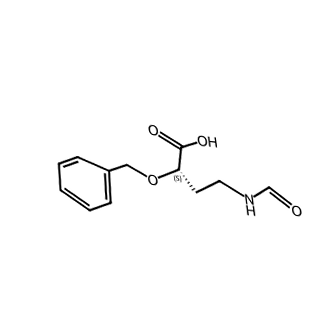 O=CNCC[C@H](OCc1ccccc1)C(=O)O